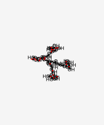 CCP(=O)(O)O[C@H]1CC[C@@H](C(=O)NC(CCC(=O)NC(CCC(=O)NCCOCCOC2OC(CO)C(O)C(O)C2NC(C)=O)C(=O)NCCOCCOC2OC(CO)C(O)C(O)C2NC(C)=O)C(=O)NCCOCCOC2(NC(C)=O)COC(CO)C(O)C2O)CC1